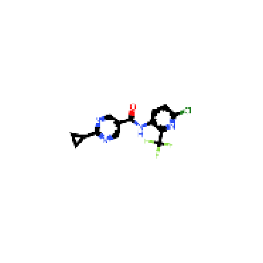 O=C(Nc1ccc(Cl)nc1C(F)(F)F)c1cnc(C2CC2)nc1